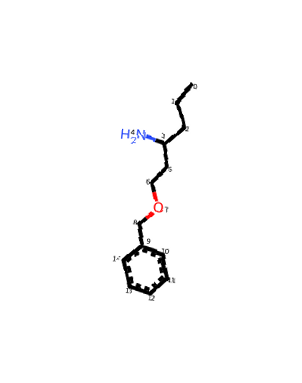 CCCC(N)CCOCc1ccccc1